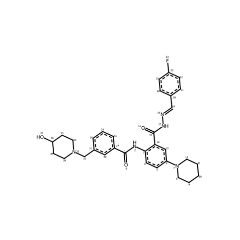 O=C(Nc1ccc(N2CCCCC2)cc1C(=O)N/N=C/c1ccc(F)cc1)c1cccc(CN2CCC(O)CC2)c1